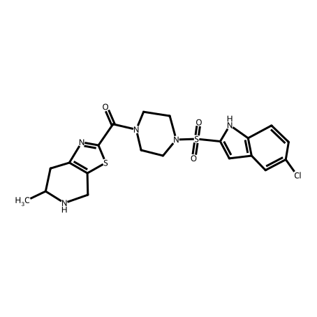 CC1Cc2nc(C(=O)N3CCN(S(=O)(=O)c4cc5cc(Cl)ccc5[nH]4)CC3)sc2CN1